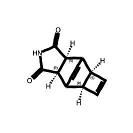 O=C1NC(=O)[C@H]2C3C=CC([C@@H]12)[C@@H]1C=C[C@H]31